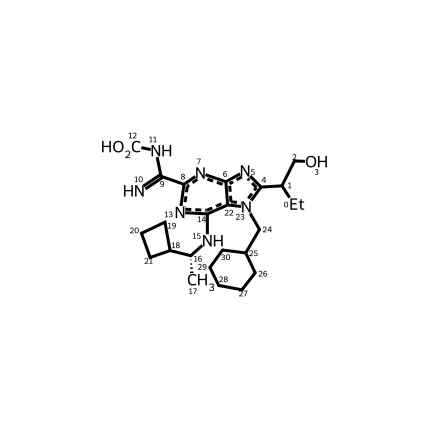 CCC(CO)c1nc2nc(C(=N)NC(=O)O)nc(N[C@H](C)C3CCC3)c2n1CC1CCCCC1